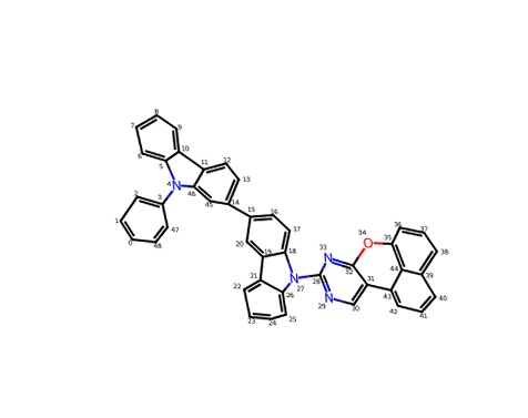 c1ccc(-n2c3ccccc3c3ccc(-c4ccc5c(c4)c4ccccc4n5-c4ncc5c(n4)Oc4cccc6cccc-5c46)cc32)cc1